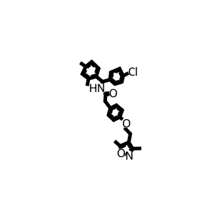 Cc1ccc(C(NC(=O)Cc2ccc(OCCc3c(C)noc3C)cc2)c2ccc(Cl)cc2)c(C)c1